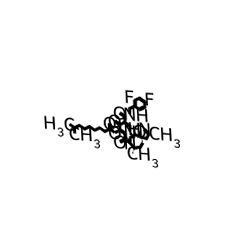 CC1=NO[C@@]2(CC[C@H](C)N3C[C@H]2n2cc(C(=O)NCc4ccc(F)cc4F)c(=O)c(OC(=O)CCCCCCC(C)C)c2C3=O)C1